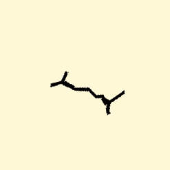 [CH2]/C(C)=C\CCC=C(C)C